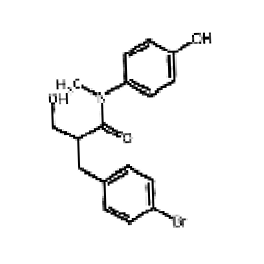 CN(C(=O)C(CO)Cc1ccc(Br)cc1)c1ccc(O)cc1